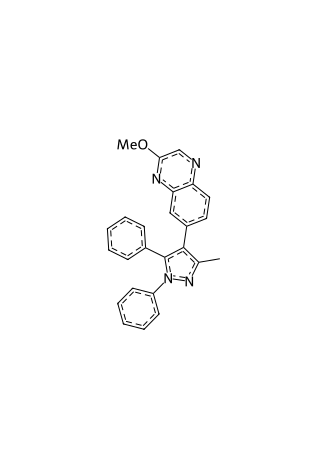 COc1cnc2ccc(-c3c(C)nn(-c4ccccc4)c3-c3ccccc3)cc2n1